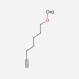 C#CCCCCCOC=O